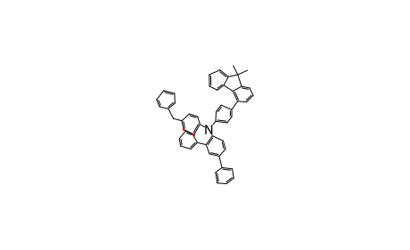 CC1(C)c2ccccc2-c2c(-c3ccc(N(c4ccc(Cc5ccccc5)cc4)c4ccc(-c5ccccc5)cc4-c4ccccc4)cc3)cccc21